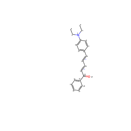 CCN(CC)c1ccc(/C=C/C=C/C(=O)c2ccccc2)cc1